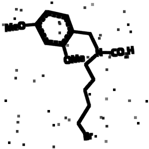 COc1ccc(CN(CCCCCBr)C(=O)O)c(OC)c1